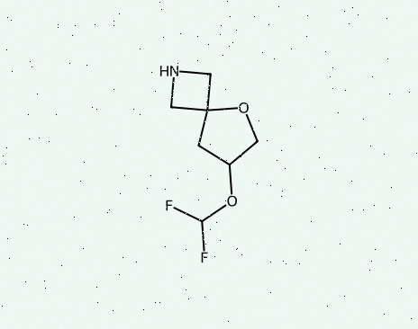 FC(F)OC1COC2(CNC2)C1